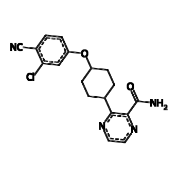 N#Cc1ccc(OC2CCC(c3nccnc3C(N)=O)CC2)cc1Cl